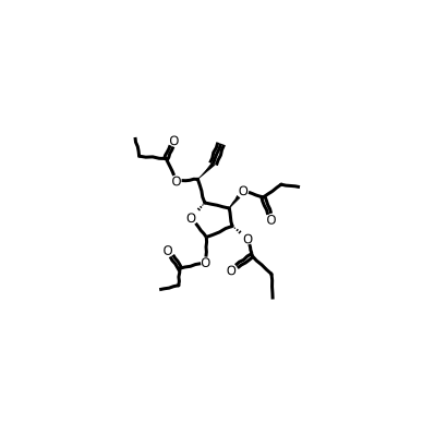 C#C[C@H](OC(=O)CC)[C@H]1OC(OC(=O)CC)[C@@H](OC(=O)CC)[C@@H]1OC(=O)CC